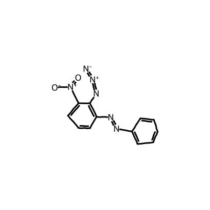 [N-]=[N+]=Nc1c(N=Nc2ccccc2)cccc1[N+](=O)[O-]